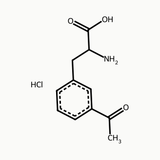 CC(=O)c1cccc(CC(N)C(=O)O)c1.Cl